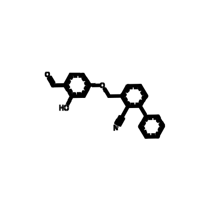 N#Cc1c(COc2ccc(C=O)c(O)c2)cccc1-c1ccccc1